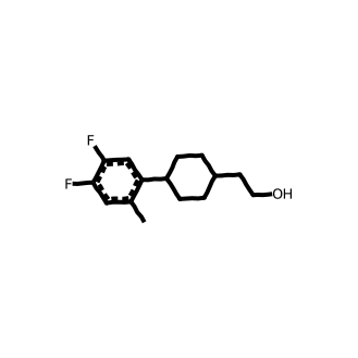 Cc1cc(F)c(F)cc1C1CCC(CCO)CC1